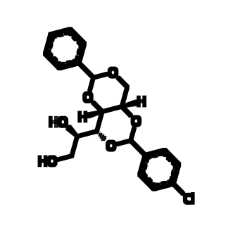 OC[C@@H](O)[C@H]1OC(c2ccc(Cl)cc2)O[C@H]2COC(c3ccccc3)O[C@@H]12